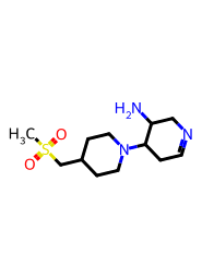 CS(=O)(=O)CC1CCN(C2CC=NCC2N)CC1